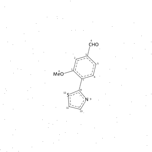 COc1cc(C=O)ccc1-c1nccs1